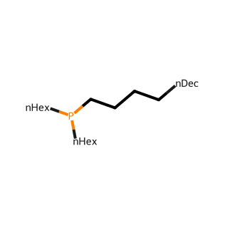 CCCCCCCCCCCCCCP(CCCCCC)CCCCCC